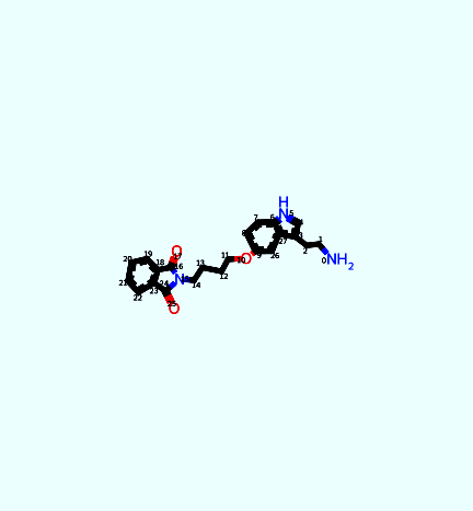 NCCc1c[nH]c2ccc(OCCCCN3C(=O)c4ccccc4C3=O)cc12